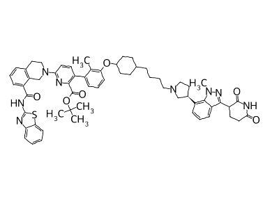 Cc1c(OC2CCC(CCCCN3CC[C@@H](c4cccc5c(C6CCC(=O)NC6=O)nn(C)c45)C3)CC2)cccc1-c1ccc(N2CCc3cccc(C(=O)Nc4nc5ccccc5s4)c3C2)nc1C(=O)OC(C)(C)C